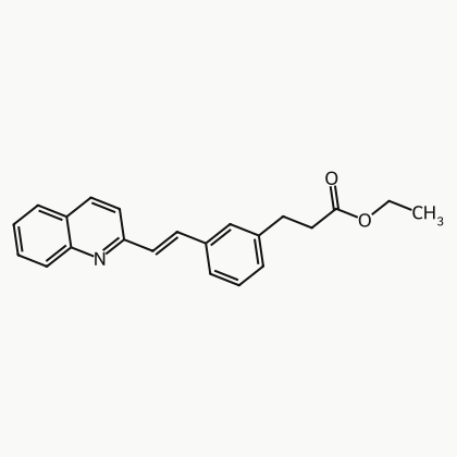 CCOC(=O)CCc1cccc(/C=C/c2ccc3ccccc3n2)c1